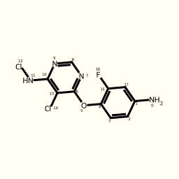 Nc1ccc(Oc2ncnc(NCl)c2Cl)c(F)c1